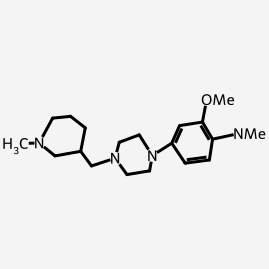 CNc1ccc(N2CCN(CC3CCCN(C)C3)CC2)cc1OC